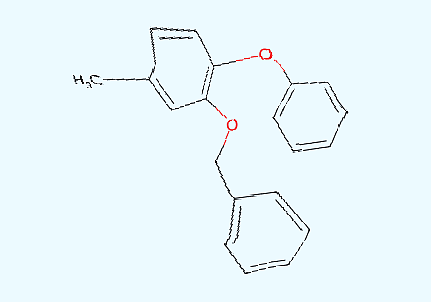 Cc1ccc(Oc2ccccc2)c(OCc2ccccc2)c1